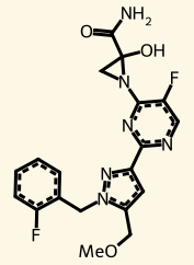 COCc1cc(-c2ncc(F)c(N3CC3(O)C(N)=O)n2)nn1Cc1ccccc1F